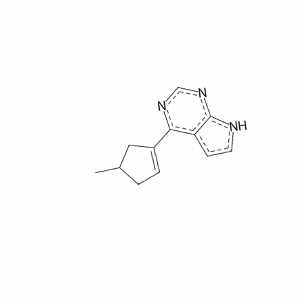 CC1CC=C(c2ncnc3[nH]ccc23)C1